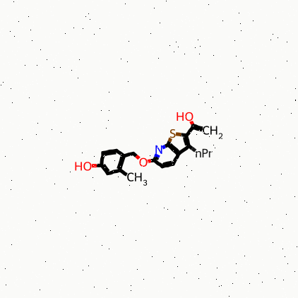 C=C(O)c1sc2nc(OCc3ccc(O)cc3C)ccc2c1CCC